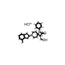 Cc1cccc2c1C[C@H](N1CCC3(CC1)[C@H](CO)C(=O)N3c1ccccc1)C2.Cl